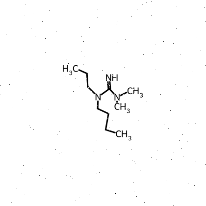 CCCCN(CCC)C(=N)N(C)C